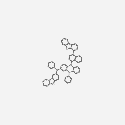 c1ccc(N(c2ccc3c(c2)N(c2ccccc2)c2ccccc2N3c2ccc(-c3cccc4c3oc3ccccc34)c3ccccc23)c2ccc3oc4ccccc4c3c2)cc1